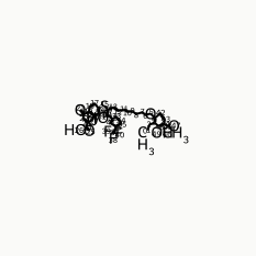 CCCc1c(OCCCCC=CC=C[C@H](Sc2ccc3c(=O)cc(C(=O)O)oc3c2)[C@H](O)c2cccc(C(F)(F)F)c2)ccc(C(C)=O)c1O